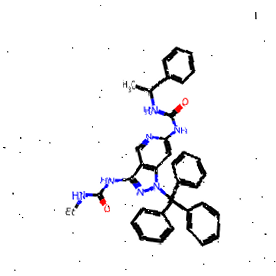 CCNC(=O)Nc1nn(C(c2ccccc2)(c2ccccc2)c2ccccc2)c2cc(NC(=O)NC(C)c3ccccc3)ncc12